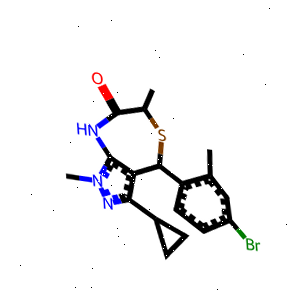 Cc1cc(Br)ccc1C1SC(C)C(=O)Nc2c1c(C1CC1)nn2C